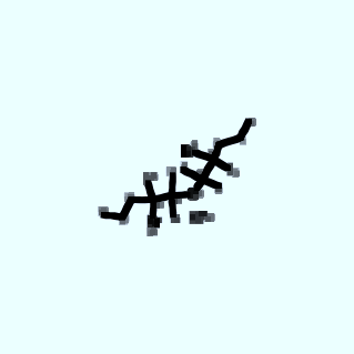 CCCC(Br)(I)C(C)(C)OC(C)(C)C(Br)(I)CCC.F